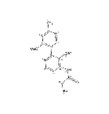 COc1nc(C)ncc1-c1nccc(NC(=O)OC(C)(C)C)c1C=O